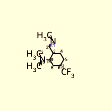 C/N=C/C1CC[C@H](C(F)(F)F)C[C@@H]1N(C)C